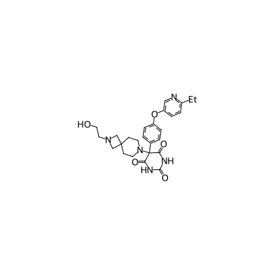 CCc1ccc(Oc2ccc(C3(N4CCC5(CC4)CN(CCO)C5)C(=O)NC(=O)NC3=O)cc2)cn1